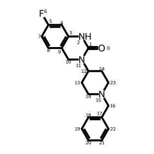 O=C1Nc2cc(F)ccc2CN1C1CCN(Cc2ccccc2)CC1